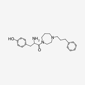 NC(Cc1ccc(O)cc1)C(=O)N1CCCN(CCCc2ccccc2)CC1